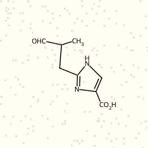 CC(C=O)Cc1nc(C(=O)O)c[nH]1